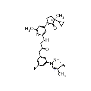 C/C(=C/N(N)c1cc(F)cc(CC(=O)CNc2cc(N3CC[C@@](C)(C4CC4)C3=O)cc(C)n2)c1)C(C)C